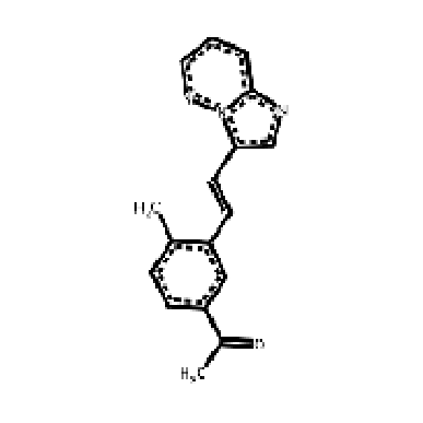 CC(=O)c1ccc(C)c(/C=C/c2cnc3cccnn23)c1